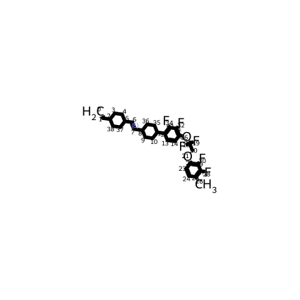 C=CC1CCC(/C=C/C2CCC(c3ccc(OC(F)(F)COc4ccc(C)c(F)c4F)c(F)c3F)CC2)CC1